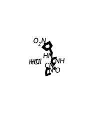 Cl.Cl.N#CC1CCCN1C(=O)[C@@H]1C[C@H](NCc2ccc([N+](=O)[O-])cc2)CN1